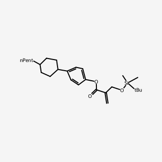 C=C(CO[Si](C)(C)C(C)(C)C)C(=O)Oc1ccc(C2CCC(CCCCC)CC2)cc1